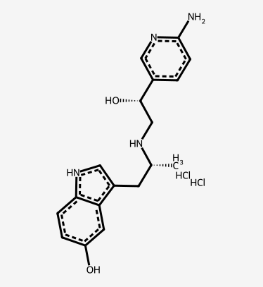 C[C@H](Cc1c[nH]c2ccc(O)cc12)NC[C@H](O)c1ccc(N)nc1.Cl.Cl